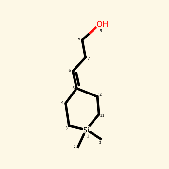 C[Si]1(C)CCC(=CCCO)CC1